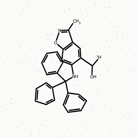 [2H]C(O)c1cc2c(C)noc2cc1NC(c1ccccc1)(c1ccccc1)c1ccccc1